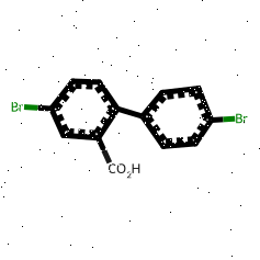 O=C(O)c1cc(Br)ccc1-c1ccc(Br)cc1